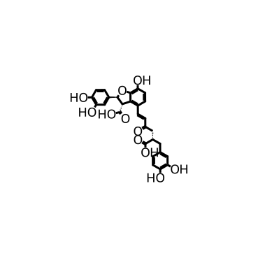 O=C(/C=C/c1ccc(O)c2c1[C@H](C(=O)O)[C@@H](c1ccc(O)c(O)c1)O2)C[C@H](Cc1ccc(O)c(O)c1)C(=O)O